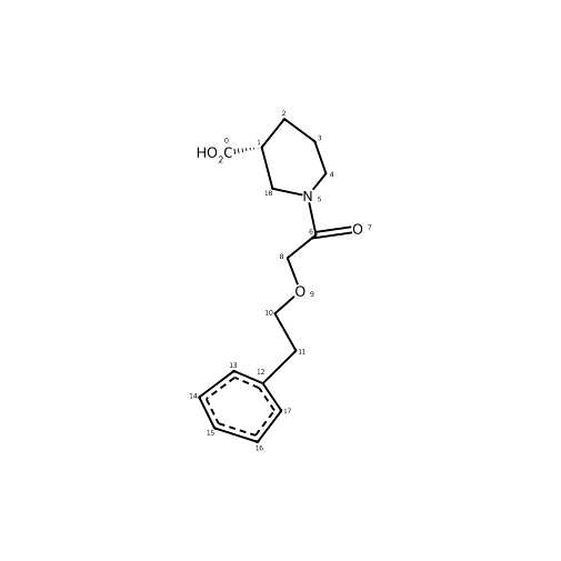 O=C(O)[C@@H]1CCCN(C(=O)COCCc2ccccc2)C1